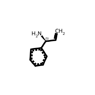 C=C[C@H](N)c1ccccc1